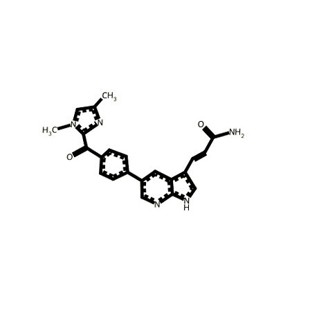 Cc1cn(C)c(C(=O)c2ccc(-c3cnc4[nH]cc(C=CC(N)=O)c4c3)cc2)n1